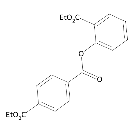 CCOC(=O)c1ccc(C(=O)Oc2ccccc2C(=O)OCC)cc1